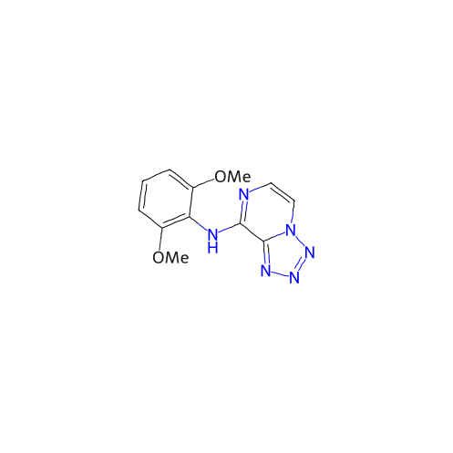 COc1cccc(OC)c1Nc1nccn2nnnc12